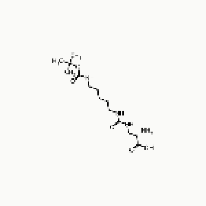 CC(C)(C)OC(=O)NCCCCCNC(=O)NC[C@H](N)C(=O)O